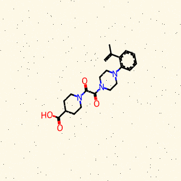 C=C(C)c1ccccc1N1CCN(C(=O)C(=O)N2CCC(C(=O)O)CC2)CC1